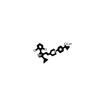 O=C(O)C1(c2ccc(N3CCC(C=Cc4c(-c5c(Cl)cccc5Cl)noc4C4CC4)CC3)cc2)CC1